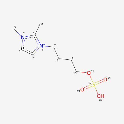 Cc1n(C)cc[n+]1CCCCOS(=O)(=O)O